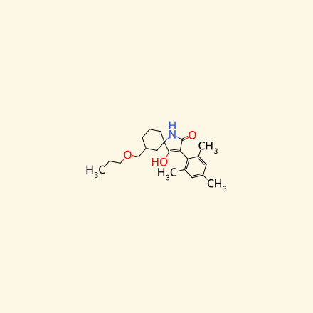 CCCOCC1CCCC2(C1)NC(=O)C(c1c(C)cc(C)cc1C)=C2O